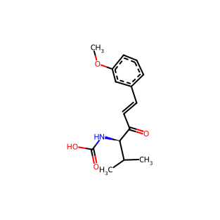 COc1cccc(/C=C/C(=O)[C@H](NC(=O)O)C(C)C)c1